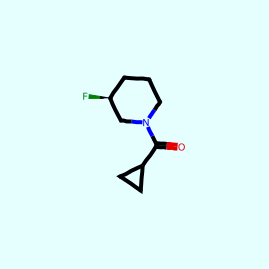 O=C(C1CC1)N1CCC[C@H](F)C1